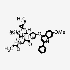 C=CC(=O)NCC(NC(=O)OC(C)(C)C)C(=O)N1C[C@H](Oc2cc(-c3ccccc3)nc3cc(OC)ccc23)C[C@H]1C(=O)N[C@]1(C(=O)O)C[C@H]1C=C